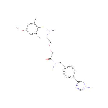 COc1cc(C)c(SN(C)CCOCC(=O)N(C)Cc2ccc(-c3cn(C)cn3)cc2)c(C)c1